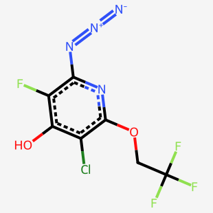 [N-]=[N+]=Nc1nc(OCC(F)(F)F)c(Cl)c(O)c1F